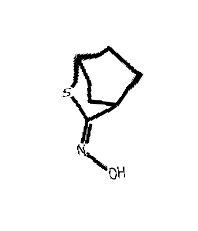 O/N=C1/SC2CCC1C2